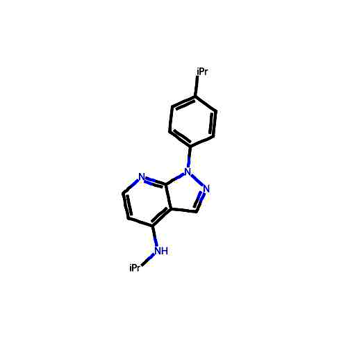 CC(C)Nc1ccnc2c1cnn2-c1ccc(C(C)C)cc1